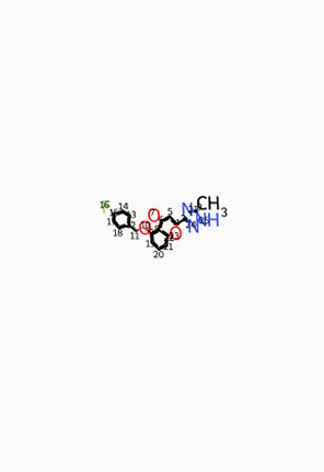 Cc1nc(-c2cc(=O)c3c(OCc4ccc(F)cc4)cccc3o2)n[nH]1